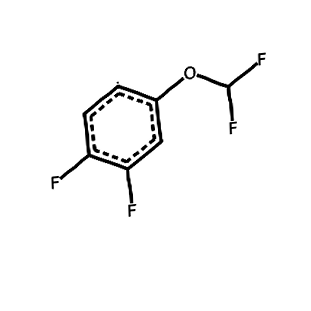 Fc1c[c]c(OC(F)F)cc1F